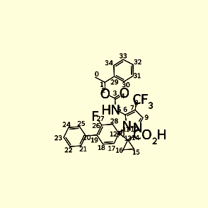 CC(OC(=O)Nc1c(C(F)(F)F)cnn1[C@@]1(C2(C(=O)O)CC2)C=CC(c2ccccc2)=C(F)C1)c1ccccc1